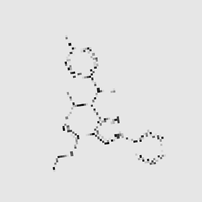 CCOC(=O)c1cn(-c2ccccc2)nc1N(C(=O)c1ccc(C)cc1)C(C)C